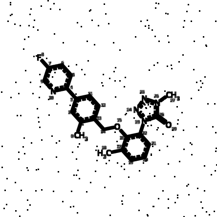 Cc1cc(-c2ccc(F)cn2)ccc1COc1c(C)cccc1-n1nnn(C)c1=O